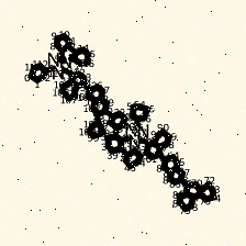 c1ccc(-c2nc(-c3ccccc3-c3ccccc3)nc(-c3ccc(-c4ccc5cc(-c6cccc(-c7cccc(-c8ccccc8)c7-c7nc(-c8ccccc8)nc(-c8ccc(-c9ccc%10cc(-c%11cc%12ccccc%12c%12ccccc%11%12)ccc%10c9)c9ccccc89)n7)c6)c(-c6ccccc6)cc5c4)c4ccccc34)n2)cc1